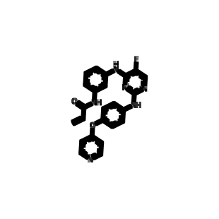 C=CC(=O)Nc1cccc(Nc2nc(Nc3ccc(Oc4ccncc4)cc3)ncc2F)c1